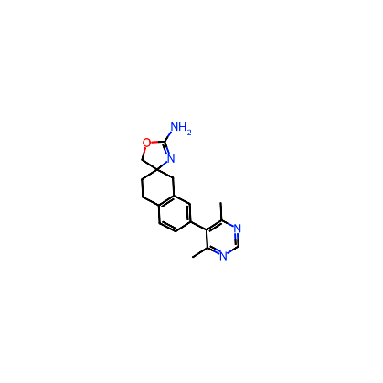 Cc1ncnc(C)c1-c1ccc2c(c1)CC1(CC2)COC(N)=N1